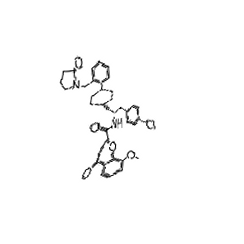 COc1cccc2c(=O)cc(C(=O)N[C@@H](C=C3CCC(c4ccccc4CN4CCCC4=O)CC3)Cc3ccc(Cl)cc3)oc12